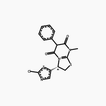 CN1C(=O)C(c2ccccc2)C(=O)[N+]2=C1SC[C@@H]2c1cnc(Cl)s1